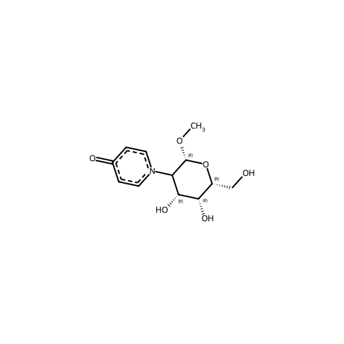 CO[C@@H]1O[C@H](CO)[C@H](O)[C@H](O)C1n1ccc(=O)cc1